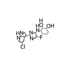 OC1CCCC(Nc2nc(-c3c[nH]c4ncc(Cl)cc34)ncc2F)C1O